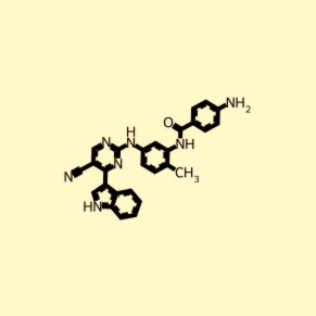 Cc1ccc(Nc2ncc(C#N)c(-c3c[nH]c4ccccc34)n2)cc1NC(=O)c1ccc(N)cc1